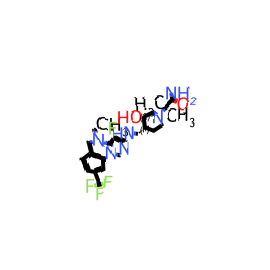 CCN(Cc1ccc(C(F)(F)F)cc1)c1ncnc(NC[C@H]2CCN(C(C)(C)C(N)=O)C[C@@H]2O)c1F